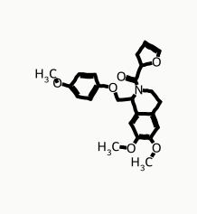 COc1ccc(OCC2c3cc(OC)c(OC)cc3CCN2C(=O)C2CC=CO2)cc1